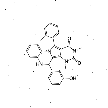 Cc1ccccc1-c1c2c(=O)n(C)c(=O)n(C)c2c2n1-c1ccccc1NC2c1cccc(O)c1